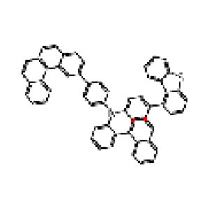 c1ccc(N(c2ccc(-c3ccc4ccc5ccc6ccccc6c5c4c3)cc2)c2ccc(-c3cccc4sc5ccccc5c34)cc2)c(-c2cccc3ccccc23)c1